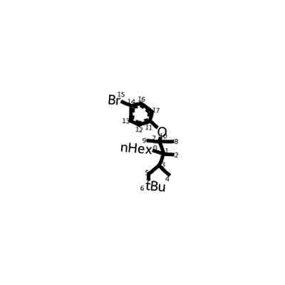 CCCCCCC(C)(C(C)CC(C)(C)C)C(C)(C)Oc1ccc(Br)cc1